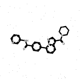 O=C(Nc1cccnc1)c1ccc(-c2cccc3c(C(=O)N4CCCCC4)cnn23)cc1